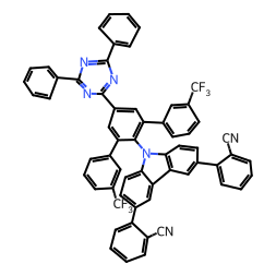 N#Cc1ccccc1-c1ccc2c(c1)c1cc(-c3ccccc3C#N)ccc1n2-c1c(-c2cccc(C(F)(F)F)c2)cc(-c2nc(-c3ccccc3)nc(-c3ccccc3)n2)cc1-c1cccc(C(F)(F)F)c1